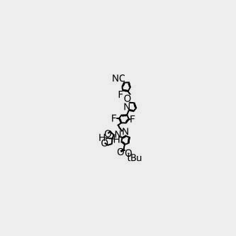 CC(C)(C)OC(=O)c1ccc2nc(Cc3cc(F)c(-c4cccc(OCc5ccc(C#N)cc5F)n4)cc3F)n([C@@H]3CO[C@H]4OCC[C@H]43)c2c1